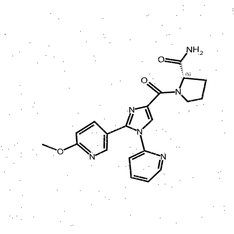 COc1ccc(-c2nc(C(=O)N3CCC[C@H]3C(N)=O)cn2-c2ccccn2)cn1